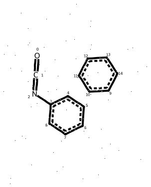 O=C=Nc1[c]cccc1.c1ccccc1